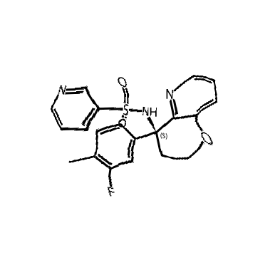 Cc1ccc([C@@]2(NS(=O)(=O)c3cccnc3)CCOc3cccnc32)cc1F